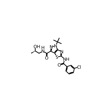 C[C@@H](O)CNC(=O)c1nn(C(C)(C)C)c2nc(NC(=O)c3cccc(Cl)c3)sc12